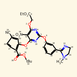 CCOC(=O)COc1nc(Oc2cccc(C3=NCCN3C)c2)nc(Oc2cc(C#N)ccc2C(=O)OC(C)(C)C)c1[N+](=O)[O-]